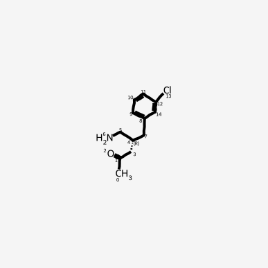 CC(=O)C[C@H](CN)Cc1cccc(Cl)c1